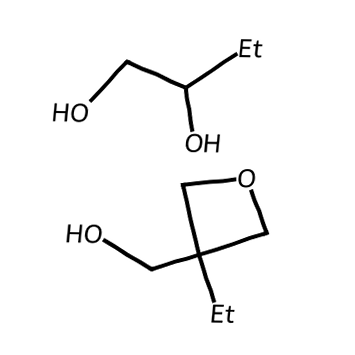 CCC(O)CO.CCC1(CO)COC1